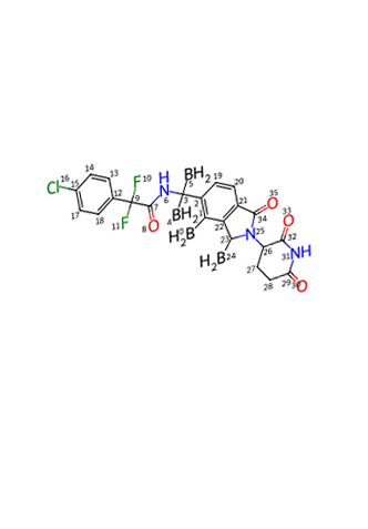 Bc1c(C(B)(B)NC(=O)C(F)(F)c2ccc(Cl)cc2)ccc2c1C(B)N(C1CCC(=O)NC1=O)C2=O